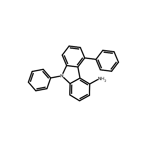 Nc1cccc2c1c1c(-c3ccccc3)cccc1n2-c1ccccc1